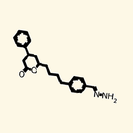 N/N=C/c1ccc(CCCCC2CC(c3ccccc3)CC(=O)O2)cc1